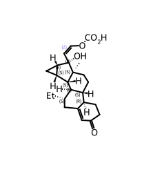 CC[C@H]1CC2=CC(=O)CC[C@@H]2[C@H]2CC[C@@]3(C)[C@@H]([C@@H]4C[C@@H]4[C@@]3(O)/C=C\OC(=O)O)[C@H]12